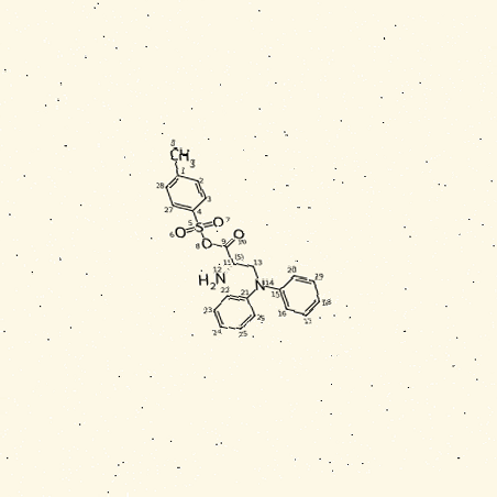 Cc1ccc(S(=O)(=O)OC(=O)[C@@H](N)CN(c2ccccc2)c2ccccc2)cc1